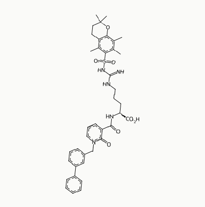 Cc1c(C)c(S(=O)(=O)NC(=N)NCCC[C@H](NC(=O)c2cccn(Cc3cccc(-c4ccccc4)c3)c2=O)C(=O)O)c(C)c2c1OC(C)(C)CC2